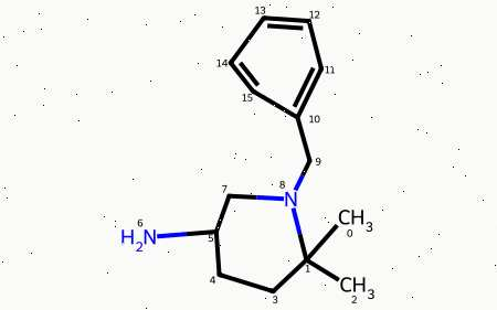 CC1(C)CCC(N)CN1Cc1ccccc1